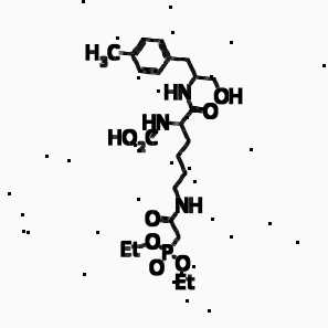 CCOP(=O)(CC(=O)NCCCCC(NC(=O)O)C(=O)NC(CO)Cc1ccc(C)cc1)OCC